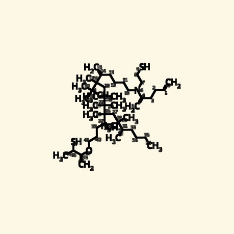 C=CCCC(=C)N(CCS)CCCCC(=C)C(C)(CC(C)(C)C(C)(C)C(C)(CC(C)(C)C(C)CCCC)C(=C)CCCOC(=C)C(C)S)C(C)(C)C